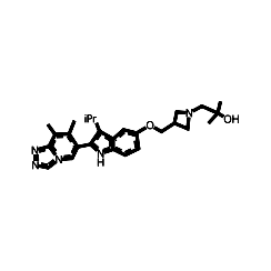 Cc1c(-c2[nH]c3ccc(OCC4CN(CC(C)(C)O)C4)cc3c2C(C)C)cn2cnnc2c1C